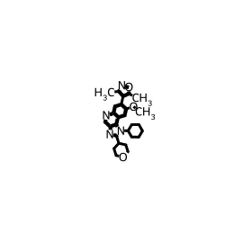 COc1cc2c(cc1-c1c(C)noc1C)ncc1nc(C3CCOCC3)n(C3CCCCC3)c12